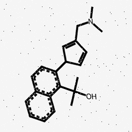 CN(C)CC1=CC(c2ccc3ccccc3c2C(C)(C)O)C=C1